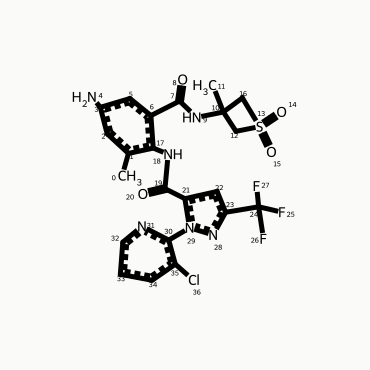 Cc1cc(N)cc(C(=O)NC2(C)CS(=O)(=O)C2)c1NC(=O)c1cc(C(F)(F)F)nn1-c1ncccc1Cl